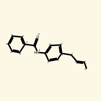 CC=CCc1ccc(NC(=O)c2ccccc2)cc1